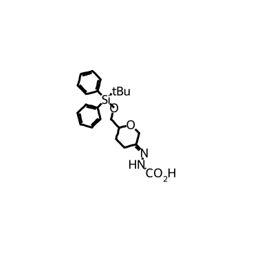 CC(C)(C)[Si](OCC1CCC(=NNC(=O)O)CO1)(c1ccccc1)c1ccccc1